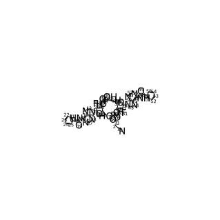 N#CCCOP1(=O)OC[C@H]2O[C@@H](n3cnc4c(NC(=O)c5ccccc5)ncnc43)[C@H](F)[C@@H]2OP(=O)(O)/C=C\[C@H]2O[C@@H](n3cnc4c(NC(=O)c5ccccc5)ncnc43)[C@H](F)[C@@H]2O1